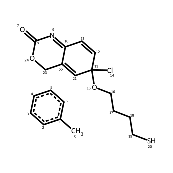 Cc1ccccc1.O=C1N=C2C=CC(Cl)(OCCCCS)C=C2CO1